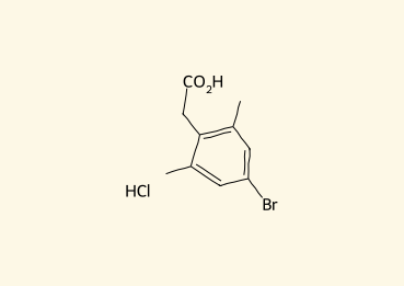 Cc1cc(Br)cc(C)c1CC(=O)O.Cl